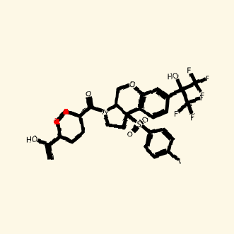 C=C(O)C12CCC(C(=O)N3CCC4(S(=O)(=O)c5ccc(I)cc5)c5ccc(C(O)(C(F)(F)F)C(F)(F)F)cc5OCC34)(CC1)CC2